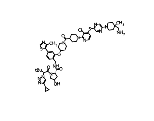 Cc1ncsc1-c1ccc(CNC(=O)[C@@H]2C[C@@H](O)CN2C(=O)[C@@H](n2cc(C3CC3)nn2)C(C)(C)C)c(OC2CCN(C(=O)C3CCN(c4nccc(Sc5cnc(N6CCC(C)(CN)CC6)cn5)c4Cl)CC3)CC2)c1